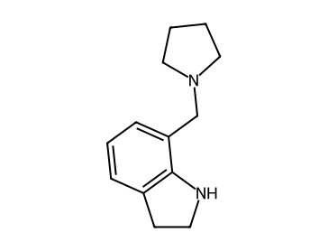 c1cc2c(c(CN3CCCC3)c1)NCC2